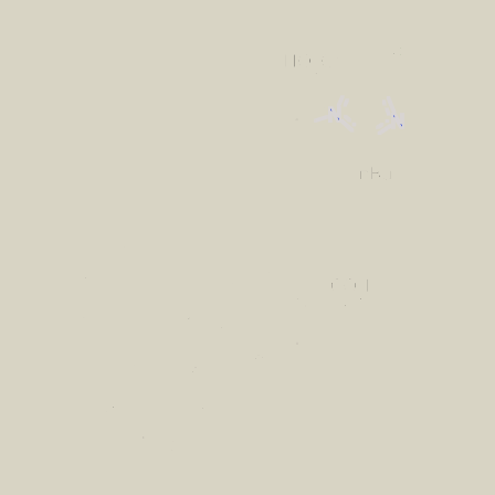 CCCCc1nc(Cl)c(C(=O)O)n1Cc1ccc(-c2cc(C3c4ccccc4-c4ccccc43)ccc2C(=O)O)cc1